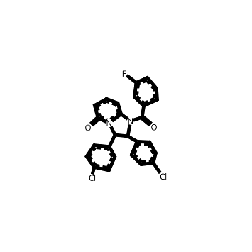 O=C(c1cccc(F)c1)N1c2cccc(=O)n2C(c2ccc(Cl)cc2)C1c1ccc(Cl)cc1